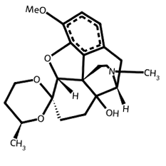 COc1ccc2c3c1O[C@H]1[C@]4(CCC5(O)[C@@H](C2)N(C)CC[C@]315)OCC[C@H](C)O4